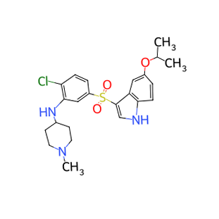 CC(C)Oc1ccc2[nH]cc(S(=O)(=O)c3ccc(Cl)c(NC4CCN(C)CC4)c3)c2c1